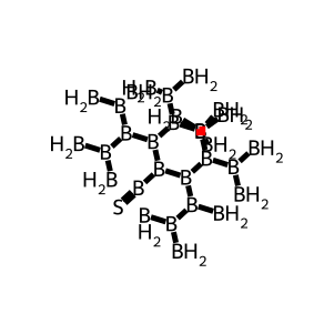 BB(B)B(B)B(B(B=S)B(B(B(B)B)B(B)B)B(B(B)B)B(B)B)B(B(B)B)B(B)B